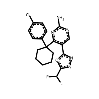 Nc1ncc(-c2nnc(C(F)F)o2)c(C2(c3ccc(Cl)cc3)CCCCC2)n1